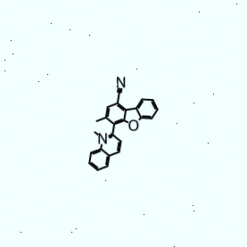 Cc1cc(C#N)c2c(oc3ccccc32)c1-c1ccc2ccccc2[n+]1C